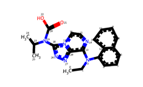 CCN(c1cccc2ccccc12)c1nccn2c(N(C(=O)O)C(C)C)nnc12